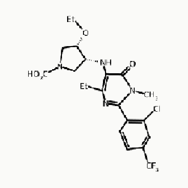 CCO[C@H]1CN(C(=O)O)C[C@H]1Nc1c(CC)nc(-c2ccc(C(F)(F)F)cc2Cl)n(C)c1=O